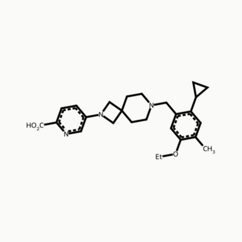 CCOc1cc(CN2CCC3(CC2)CN(c2ccc(C(=O)O)nc2)C3)c(C2CC2)cc1C